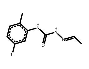 C/C=N/NC(=O)Nc1cc(F)ccc1C